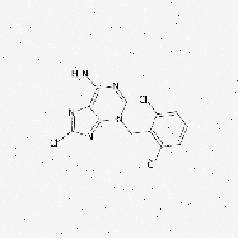 Nc1ncn(Cc2c(Cl)cccc2Cl)c2nc(Cl)nc1-2